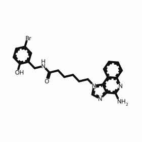 Nc1nc2ccccc2c2c1ncn2CCCCCC(=O)NCc1cc(Br)ccc1O